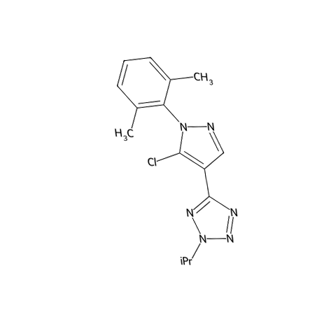 Cc1cccc(C)c1-n1ncc(-c2nnn(C(C)C)n2)c1Cl